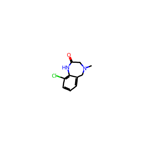 CN1CC(=O)Nc2c(Cl)cccc2C1